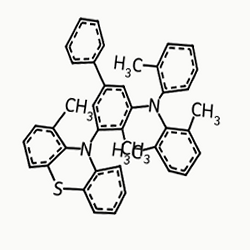 Cc1ccccc1N(c1cc(-c2ccccc2)cc(N2c3ccccc3Sc3cccc(C)c32)c1C)c1c(C)cccc1C